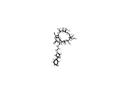 CC[C@H]1OC(=O)[C@@](C)(F)C(=O)[C@H](C)C[C@](C)(OC)C[C@@H](C)C(=O)[C@H](C)[C@H]2N(CCCCn3cnc(-c4cccnc4)c3)C(=O)O[C@]12C